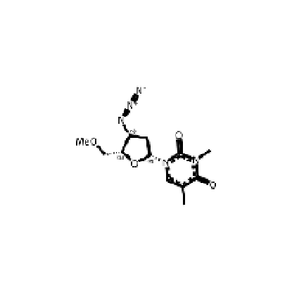 COC[C@H]1O[C@@H](n2cc(C)c(=O)n(C)c2=O)C[C@@H]1N=[N+]=[N-]